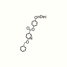 CCCCCCCCCCOc1ccc(OC(=O)c2ccc(OCc3ccccc3)nc2)cc1